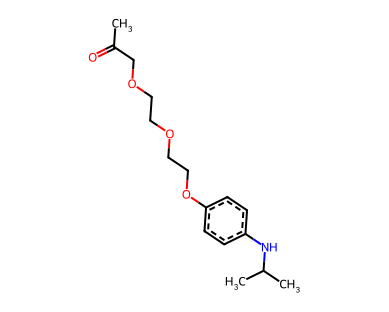 CC(=O)COCCOCCOc1ccc(NC(C)C)cc1